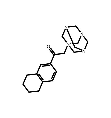 O=C(C[N+]12CN3CN(CN(C3)C1)C2)c1ccc2c(c1)CCCC2